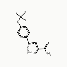 NC(=O)c1cncc(-c2ccc(SC(F)(F)F)cc2)c1